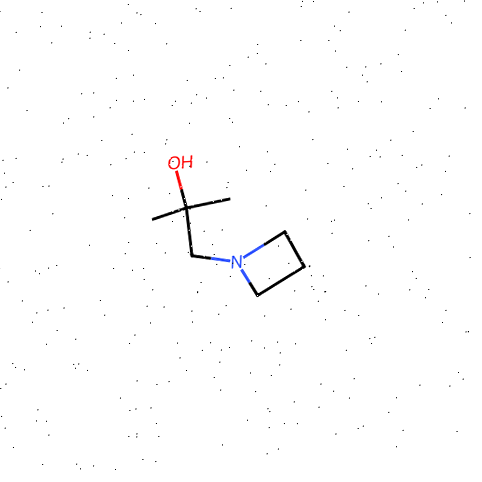 CC(C)(O)CN1C[CH]C1